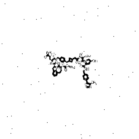 Cc1ncsc1-c1ccc(CNC(=O)[C@@H]2C[C@@H](O)CN2C(=O)[C@@H](NC(=O)CC2CC(Cc3ccc(CO[C@H](C)[C@H](CCC(N)=O)NC(=O)[C@@H]4Cc5cccc6c5N4C(=O)[C@@H](NC(=O)OC(C)(C)C)CC6)cc3)C2)C(C)(C)C)cc1